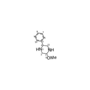 COC1CNC(c2ccccc2)CN1